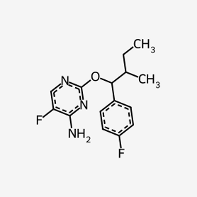 CCC(C)C(Oc1ncc(F)c(N)n1)c1ccc(F)cc1